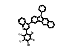 [2H]c1c([2H])c(-c2cc(-c3ccc4c(c3)c3cc5ccccc5cc3n4-c3ccccc3)c3ccccc3n2)c([2H])c([2H])c1Br